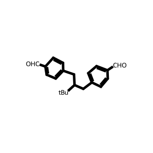 CC(C)(C)C(Cc1ccc(C=O)cc1)Cc1ccc(C=O)cc1